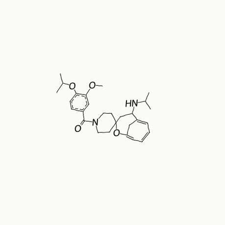 COc1cc(C(=O)N2CCC3(CC2)CC(NC(C)C)C2=CC=CC=C(C2)O3)ccc1OC(C)C